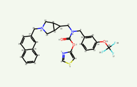 O=C(Oc1cscn1)N(Cc1cccc(OC(F)(F)F)c1)CC1C2CN(Cc3ccc4ccccc4c3)CC21